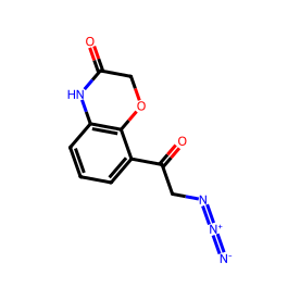 [N-]=[N+]=NCC(=O)c1cccc2c1OCC(=O)N2